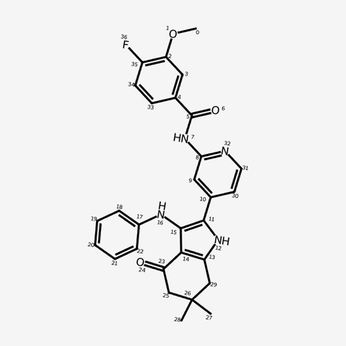 COc1cc(C(=O)Nc2cc(-c3[nH]c4c(c3Nc3ccccc3)C(=O)CC(C)(C)C4)ccn2)ccc1F